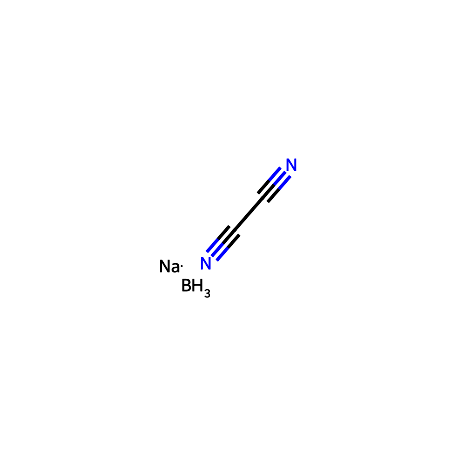 B.N#CC#N.[Na]